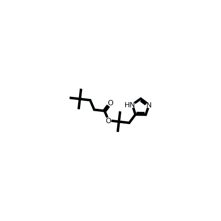 CC(C)(C)CCC(=O)OC(C)(C)Cc1cnc[nH]1